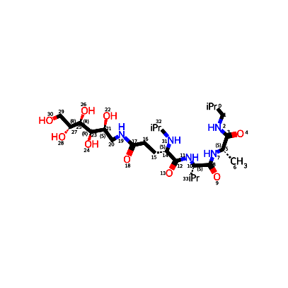 CC(C)CNC(=O)[C@H](C)NC(=O)[C@@H](NC(=O)[C@H](CCC(=O)NC[C@H](O)[C@@H](O)[C@H](O)[C@H](O)CO)NC(C)C)C(C)C